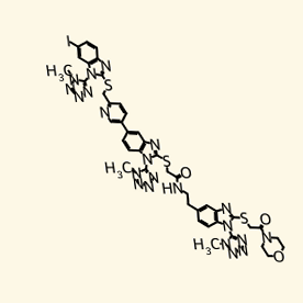 Cn1nnnc1-n1c(SCC(=O)NCCc2ccc3c(c2)nc(SCC(=O)N2CCOCC2)n3-c2nnnn2C)nc2cc(-c3ccc(CSc4nc5ccc(I)cc5n4-c4nnnn4C)nc3)ccc21